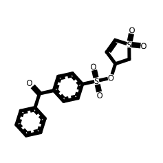 O=C(c1ccccc1)c1ccc(S(=O)(=O)OC2C=CS(=O)(=O)C2)cc1